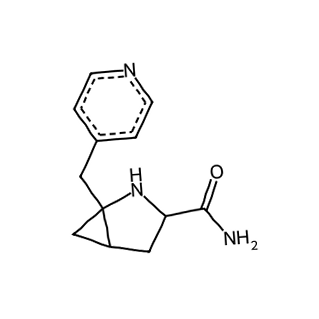 NC(=O)C1CC2CC2(Cc2ccncc2)N1